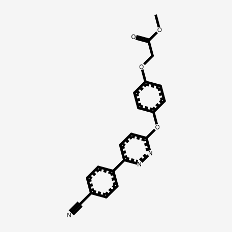 COC(=O)COc1ccc(Oc2ccc(-c3ccc(C#N)cc3)nn2)cc1